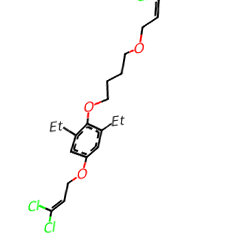 CCc1cc(OCC=C(Cl)Cl)cc(CC)c1OCCCCOC/C=C(\Cl)C(F)(F)F